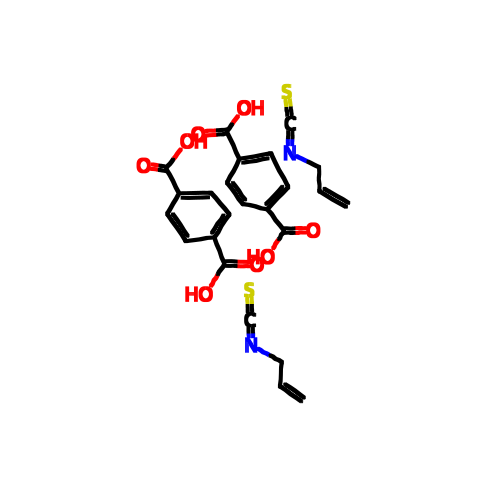 C=CCN=C=S.C=CCN=C=S.O=C(O)c1ccc(C(=O)O)cc1.O=C(O)c1ccc(C(=O)O)cc1